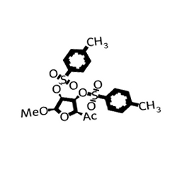 CO[C@@H]1O[C@H](C(C)=O)[C@H](OS(=O)(=O)c2ccc(C)cc2)[C@H]1OS(=O)(=O)c1ccc(C)cc1